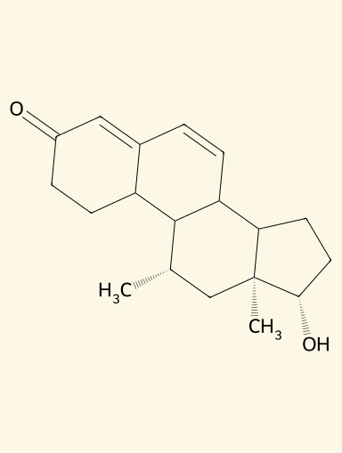 C[C@H]1C[C@@]2(C)C(CC[C@@H]2O)C2C=CC3=CC(=O)CCC3C21